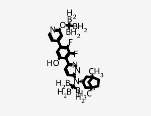 BC(B)(B)Oc1cc(-c2cc(O)c(-c3ccc(N([C@H]4C[C@]5(C)CC[C@](C)(C4)C5)C(B)(B)B)nn3)c(F)c2F)ccn1